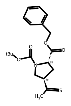 CC(=S)[C@@H]1C[C@@H](C(=O)OCc2ccccc2)N(C(=O)OC(C)(C)C)C1